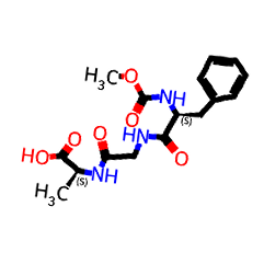 COC(=O)N[C@@H](Cc1ccccc1)C(=O)NCC(=O)N[C@@H](C)C(=O)O